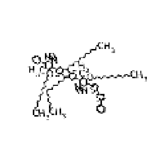 CCCCCCCCCCCCOc1c(C)c(-c2ccccc2)c2nonc2c1-c1cc2c(CCCCCCCCCCCC)c3sc(-c4c(C)c(OCCCCCCCCCCCC)c(-c5ccc(-c6ccc(-c7ccccc7)s6)s5)c5nonc45)cc3c(CCCCCCCCCCCC)c2s1